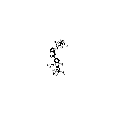 COc1cc(C(=O)N=c2sccn2COC(=O)C(C)(C)N)ccc1NC(=O)CC(C)(C)C